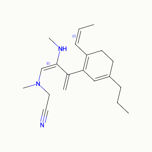 C=C(C1=C(/C=C\C)CCC(CCC)=C1)/C(=C\N(C)CC#N)NC